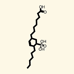 CCCCCCC1C=CC(CCCCCCCC(=O)O)CC1P(=O)(O)O